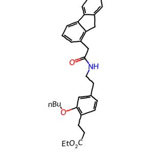 CCCCOc1cc(CCNC(=O)Cc2cccc3c2Cc2ccccc2-3)ccc1CCC(=O)OCC